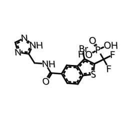 O=C(NCc1ncn[nH]1)c1ccc2sc(C(F)(F)P(=O)(O)O)c(Br)c2c1